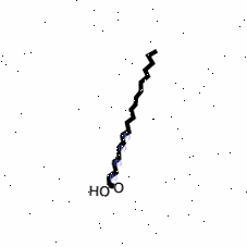 CCCCCCCCCCCC/C=C/C=C/C=C/C=C/C(=O)O